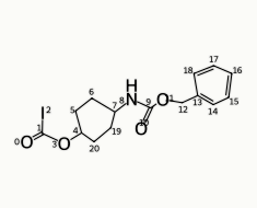 O=C(I)OC1CCC(NC(=O)OCc2ccccc2)CC1